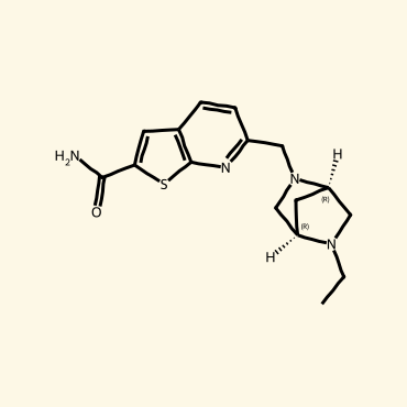 CCN1C[C@H]2C[C@@H]1CN2Cc1ccc2cc(C(N)=O)sc2n1